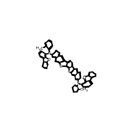 Cc1ccccc1N(c1ccc2cc3c(cc2c1)sc1c3ccc2c3cc4ccc(N(c5ccccc5C)c5cccc6c5oc5ccccc56)cc4cc3sc21)c1cccc2c1oc1ccccc12